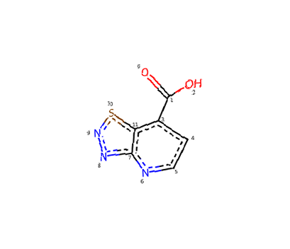 O=C(O)c1ccnc2nnsc12